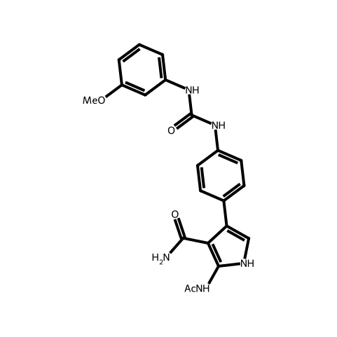 COc1cccc(NC(=O)Nc2ccc(-c3c[nH]c(NC(C)=O)c3C(N)=O)cc2)c1